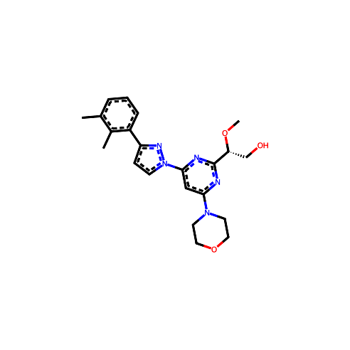 CO[C@H](CO)c1nc(N2CCOCC2)cc(-n2ccc(-c3cccc(C)c3C)n2)n1